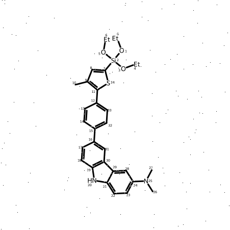 CCO[Si](OCC)(OCC)c1cc(C)c(-c2ccc(-c3ccc4[nH]c5ccc(N(C)C)cc5c4c3)cc2)s1